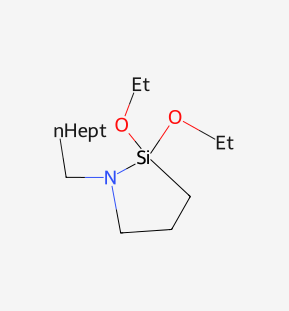 CCCCCCCCN1CCC[Si]1(OCC)OCC